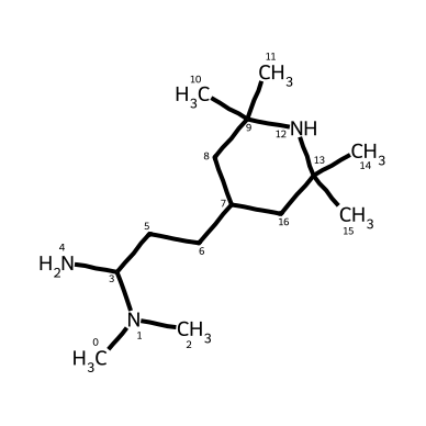 CN(C)C(N)CCC1CC(C)(C)NC(C)(C)C1